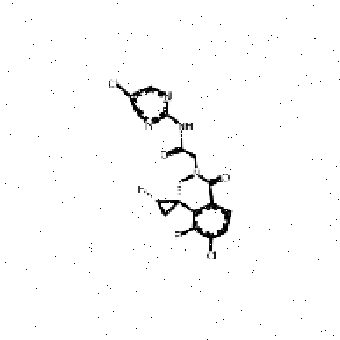 O=C(CN1C[C@@]2(C[C@@H]2F)c2c(ccc(Cl)c2F)C1=O)Nc1ncc(Cl)cn1